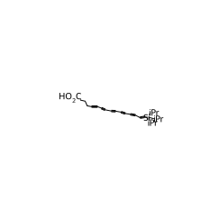 CC(C)[Si](C#CC#CC#CC#CC#CC#CCCCC(=O)O)(C(C)C)C(C)C